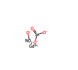 O=[N+]([O-])[O-].O=[Se]([O-])[O-].[Gd+3]